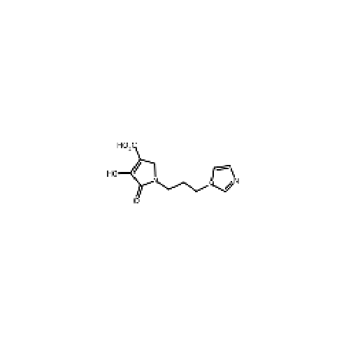 O=C(O)C1=C(O)C(=O)N(CCCn2ccnc2)C1